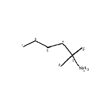 [CH2]C(C)(N)CCCC